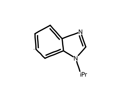 CC(C)n1cnc2cc[c]cc21